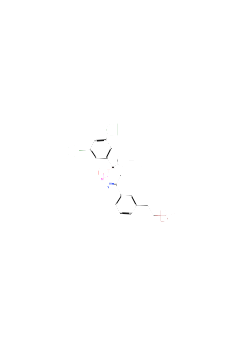 FC(F)(F)C1(c2cc(Cl)cc(Cl)c2)CC(c2cccc(CCBr)c2)=NO1